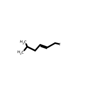 CC(C)C/C=C/CI